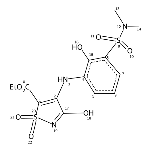 CCOC(=O)C1=C(Nc2cccc(S(=O)(=O)N(C)C)c2O)C(O)=NS1(=O)=O